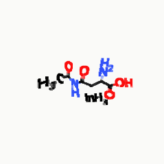 CC(=O)NC(=O)C[C@H](N)C(=O)O.[InH3]